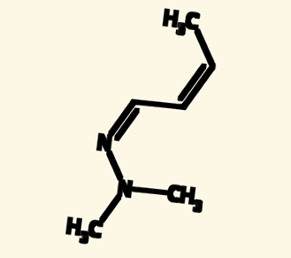 C/C=C\C=N/N(C)C